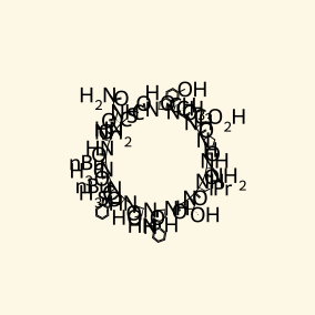 CCCC[C@H]1C(=O)N(C)[C@@H](CCCC)C(=O)N[C@@H](CN)C(=O)N[C@H](C(=O)NCC(N)=O)CSCC(=O)N[C@@H](Cc2ccc(O)cc2)C(=O)N(C)[C@H](C)C(=O)N[C@@H](CC(=O)O)C(=O)N2CCC[C@H]2C(=O)N[C@@H](CN)C(=O)N[C@@H](CC(C)C)C(=O)N2C[C@H](O)C[C@H]2C(=O)N[C@@H](Cc2c[nH]c3ccccc23)C(=O)N[C@@H](CO)C(=O)N[C@@H](Cc2csc3ccccc23)C(=O)N1C